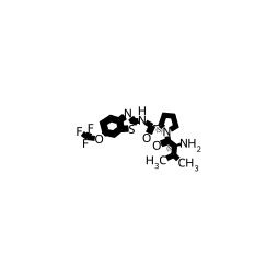 CC(C)[C@H](N)C(=O)N1CCC[C@H]1C(=O)Nc1nc2ccc(OC(F)(F)F)cc2s1